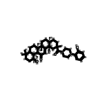 CC1(C(=O)N2CCN(c3ccccc3Cl)CC2)CC[C@]2(C)CC[C@]3(C)C(=CC(=O)C4[C@@]5(C)C(O)CCC(C)(C)C5CC[C@]43C)[C@@H]2C1